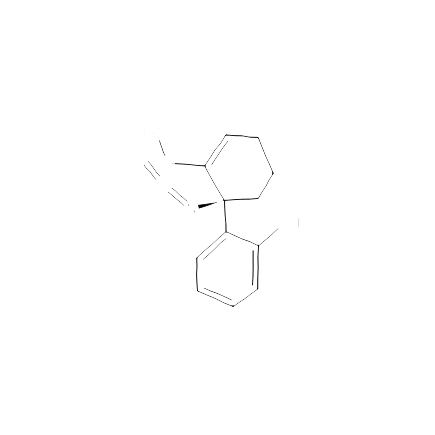 COC1=CCCC[C@]1(N=C=O)c1ccccc1O